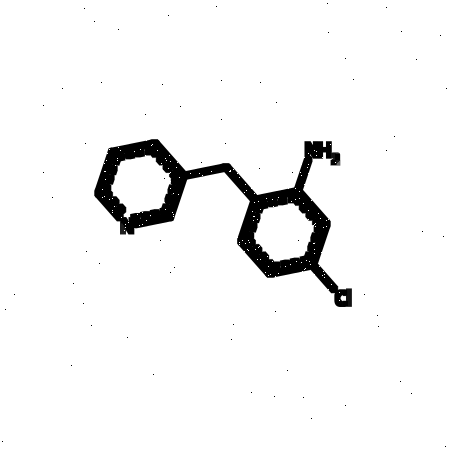 Nc1cc(Cl)ccc1Cc1cccnc1